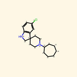 Clc1ccc2c(c1)C1(CCN(C3CCCCCC3)CC1)CN2